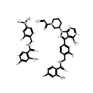 C=CC(=O)N1CCC[C@@H](n2nc(-c3ccc(CNC(=O)c4ccc(F)cc4OC)c(F)c3)c3c(N)ncnc32)C1.COc1cc(F)ccc1C(=O)NCc1ccc(B(O)O)cc1F